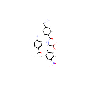 CC(=O)c1ccc(N)cc1.Cl.NCC1CCC(C(=O)N[C@@H](Cc2ccc([N+](=O)[O-])cc2)C(=O)O)CC1